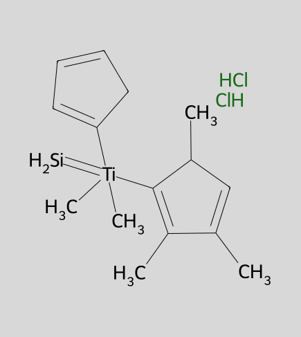 CC1=CC(C)[C]([Ti]([CH3])([CH3])(=[SiH2])[C]2=CC=CC2)=C1C.Cl.Cl